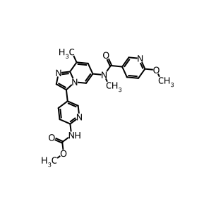 COC(=O)Nc1ccc(-c2cnc3c(C)cc(N(C)C(=O)c4ccc(OC)nc4)cn23)cn1